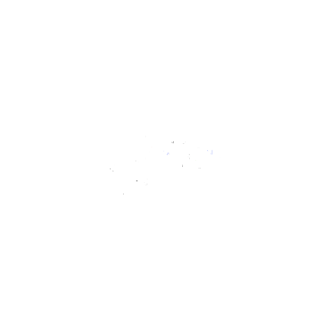 N#Cc1cc(C(=O)N2CCC(F)(CN)CC2)ccc1F